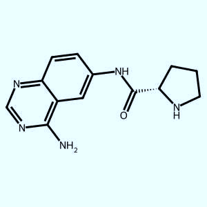 Nc1ncnc2ccc(NC(=O)[C@@H]3CCCN3)cc12